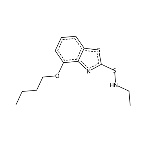 CCCCOc1cccc2sc(SNCC)nc12